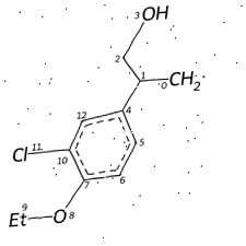 [CH2]C(CO)c1ccc(OCC)c(Cl)c1